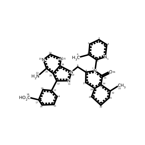 Cc1cccnc1-n1c(Cn2nc(-c3cccc(C(=O)O)c3)c3c(N)ncnc32)cc2cccc(C)c2c1=O